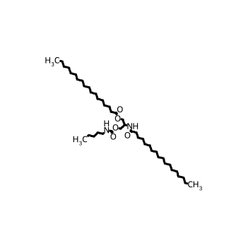 CCCCCCCCCCCCCCCCCC(=O)NC(COC(=O)CCCCCCCCCCCCCCCCC)COC(=O)NCCCCC